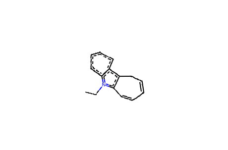 CCn1c2c(c3ccccc31)CC=CC=C2